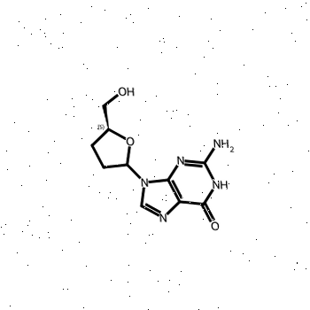 Nc1nc2c(ncn2C2CC[C@@H](CO)O2)c(=O)[nH]1